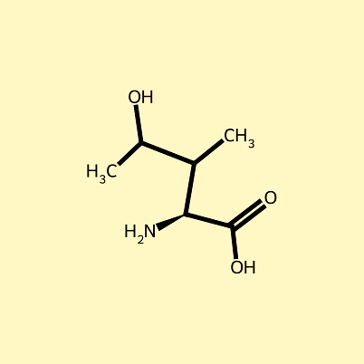 CC(O)C(C)[C@H](N)C(=O)O